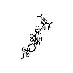 CCCS(=O)(=O)N1CCCN(S(=O)(=O)NC(=O)c2coc(Nc3cn(C(C)C)nc3C(C)C)n2)CC1